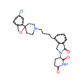 O=C1CCC(N2Cc3c(CCCCN4CCC5(CC4)OCc4ccc(Cl)cc45)cccc3C2=O)C(=O)N1